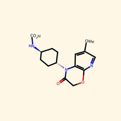 COc1cnc2c(c1)N([C@H]1CC[C@H](NC(=O)O)CC1)C(=O)CO2